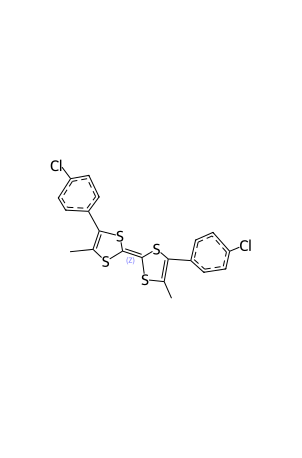 CC1=C(c2ccc(Cl)cc2)S/C(=C2/SC(C)=C(c3ccc(Cl)cc3)S2)S1